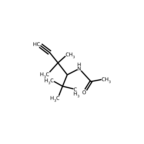 C#CC(C)(C)C(NC(C)=O)C(C)(C)C